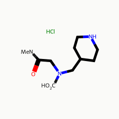 CNC(=O)CN(CC1CCNCC1)C(=O)O.Cl